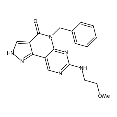 COCCNc1ncc2c3n[nH]cc3c(=O)n(Cc3ccccc3)c2n1